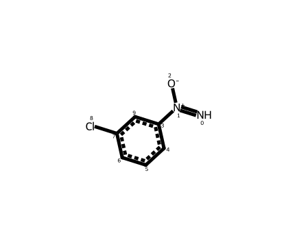 N=[N+]([O-])c1cccc(Cl)c1